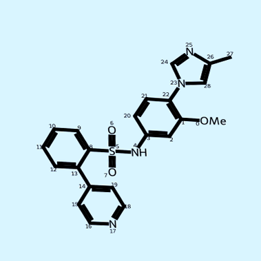 COc1cc(NS(=O)(=O)c2ccccc2-c2ccncc2)ccc1-n1cnc(C)c1